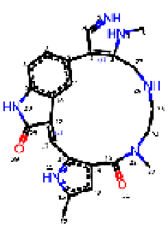 CN/C1=C(\C=N)c2ccc3c(c2)/C(=C/c2[nH]c(C)cc2C(=O)N(C)CCNC1)C(=O)N3